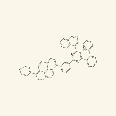 c1ccc(-c2ccc3ccc4c(-c5cccc(-c6nc(-c7ccccc7-c7ccccn7)cc(-c7cncc8ccccc78)n6)c5)ccc5ccc2c3c54)cc1